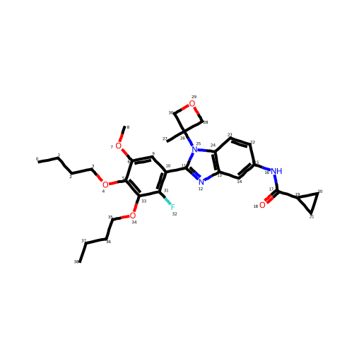 CCCCOc1c(OC)cc(-c2nc3cc(NC(=O)C4CC4)ccc3n2C2(C)COC2)c(F)c1OCCCC